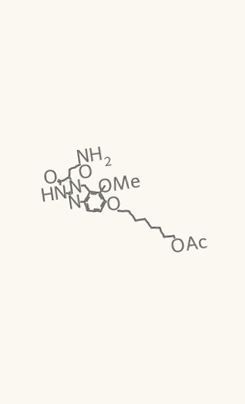 COc1c(OCCCCCCCCOC(C)=O)ccc2c1CN1C(=N2)NC(=O)C1CC(N)=O